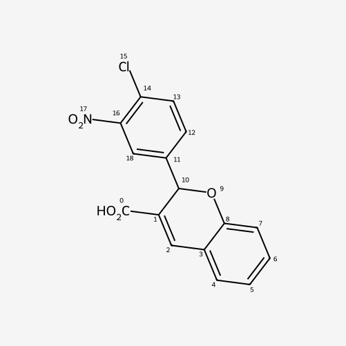 O=C(O)C1=Cc2ccccc2OC1c1ccc(Cl)c([N+](=O)[O-])c1